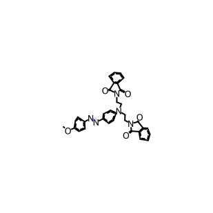 COc1ccc(/N=N/c2ccc(N(CCN3C(=O)c4ccccc4C3=O)CCN3C(=O)c4ccccc4C3=O)cc2)cc1